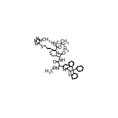 CO/N=C(\C(=O)NC1C(=O)N2C(C(=O)OC(C)(C)C)=C(/C=C/CSc3nnnn3C)SCC12)c1csc(NC(c2ccccc2)(c2ccccc2)c2ccccc2)n1